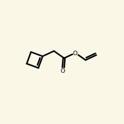 C=COC(=O)CC1=CCC1